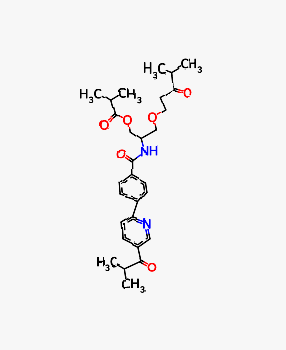 CC(C)C(=O)CCOCC(COC(=O)C(C)C)NC(=O)c1ccc(-c2ccc(C(=O)C(C)C)cn2)cc1